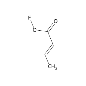 CC=CC(=O)OF